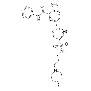 CN1CCN(CCCNS(=O)(=O)c2ccc(-c3cnc(N)c(C(=O)Nc4cccnc4)n3)cc2)CC1.Cl